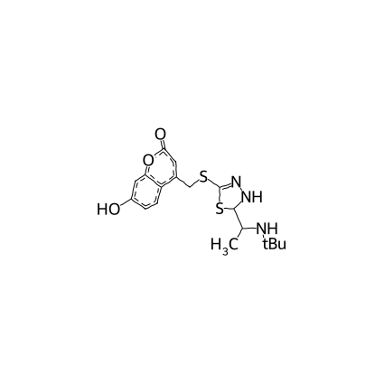 CC(NC(C)(C)C)C1NN=C(SCc2cc(=O)oc3cc(O)ccc23)S1